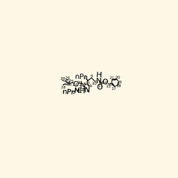 CCCNCc1ncc(C(CCC)CCNC(=O)OCc2ccccc2)n1COCC[Si](C)(C)C